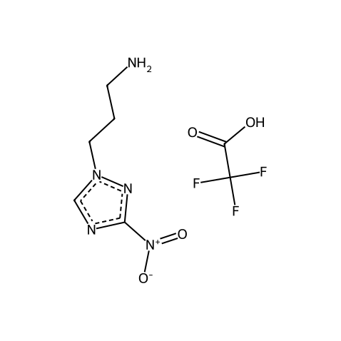 NCCCn1cnc([N+](=O)[O-])n1.O=C(O)C(F)(F)F